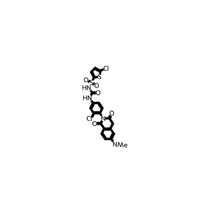 CNc1ccc2c(c1)CC(=O)N(c1ccc(NC(=O)NS(=O)(=O)c3ccc(Cl)s3)cc1Cl)C2=O